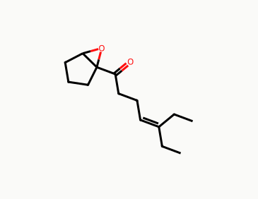 CCC(=CCCC(=O)C12CCCC1O2)CC